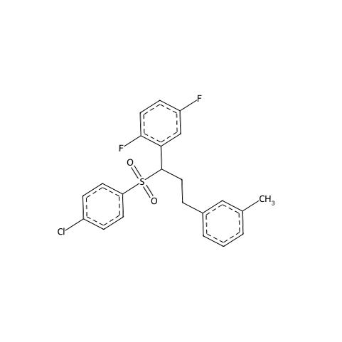 Cc1cccc(CCC(c2cc(F)ccc2F)S(=O)(=O)c2ccc(Cl)cc2)c1